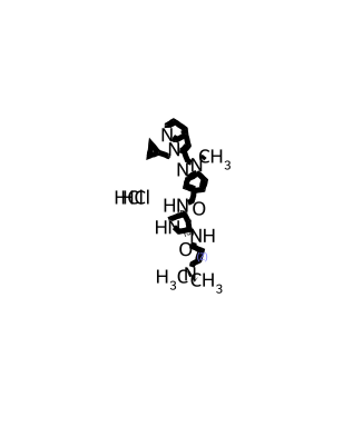 CN(C)C/C=C\C(=O)N[C@@H]1CNC[C@H](NC(=O)c2ccc3c(c2)nc(-c2cc4cccnc4n2CC2CC2)n3C)C1.Cl.Cl